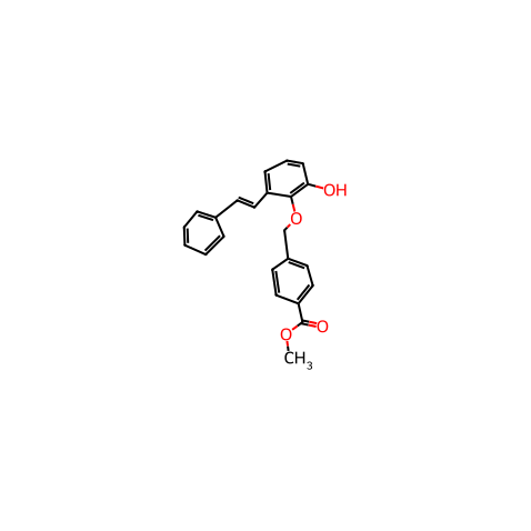 COC(=O)c1ccc(COc2c(O)cccc2C=Cc2ccccc2)cc1